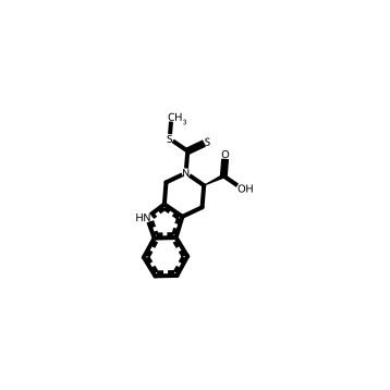 CSC(=S)N1Cc2[nH]c3ccccc3c2C[C@@H]1C(=O)O